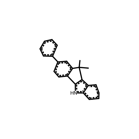 CC1(C)c2cc(-c3ccccc3)ccc2-c2[nH]c3ccccc3c21